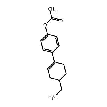 CCC1CC=C(c2ccc(OC(C)=O)cc2)CC1